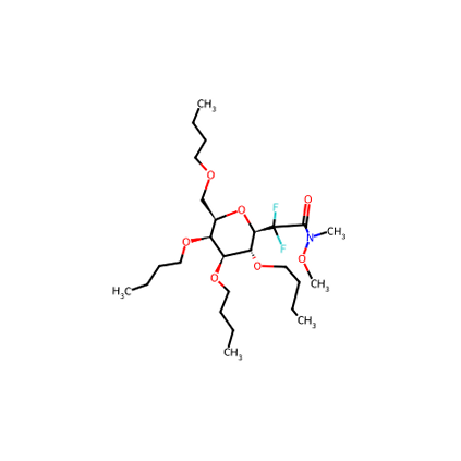 CCCCOC[C@H]1O[C@@H](C(F)(F)C(=O)N(C)OC)[C@H](OCCCC)[C@@H](OCCCC)[C@H]1OCCCC